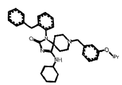 CC(C)Oc1cccc(CN2CCC3(CC2)C(NC2CCCCC2)=NC(=O)N3c2ccccc2Cc2ccccc2)c1